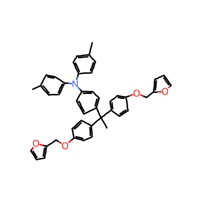 Cc1ccc(N(c2ccc(C)cc2)c2ccc(C(C)(c3ccc(OCc4ccco4)cc3)c3ccc(OCc4ccco4)cc3)cc2)cc1